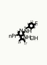 CCCc1cnc(NCc2ccc(F)cc2)c2[nH]c(C)c(C)c12.Cl